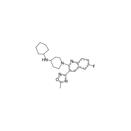 Cc1nc(-c2cc3cc(F)ccc3nc2N2CCC(NC3CCCCC3)CC2)no1